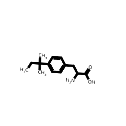 CCC(C)(C)c1ccc(CC(N)C(=O)O)cc1